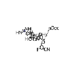 CCCCCCCCCCCCCCCCC[C@H](COP(=O)(O)OC[C@@]1(C)O[C@@H](c2ccc(/C(N)=N\C=N)[nH]2)[C@H](O)[C@@H]1O)OCc1cc(F)cc(C#N)c1